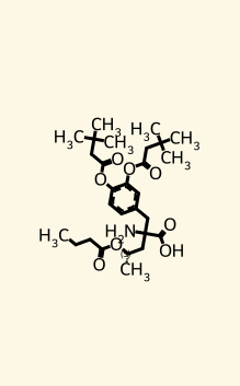 CCCC(=O)O[C@@H](C)CC(N)(Cc1ccc(OC(=O)CC(C)(C)C)c(OC(=O)CC(C)(C)C)c1)C(=O)O